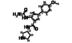 COc1ccc(-c2cc(C(=O)N[C@@H]3CCNC3)c(NC(N)=O)s2)cc1